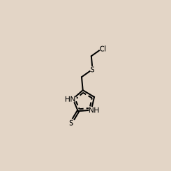 S=c1[nH]cc(CSCCl)[nH]1